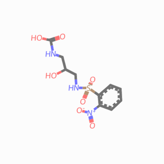 O=C(O)NCC(O)CNS(=O)(=O)c1ccccc1[N+](=O)[O-]